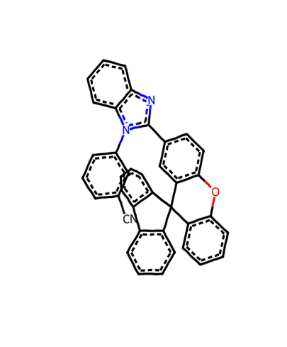 N#Cc1cccc(-n2c(-c3ccc4c(c3)C3(c5ccccc5O4)c4ccccc4-c4ccccc43)nc3ccccc32)c1